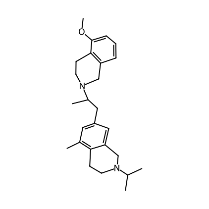 COc1cccc2c1CCN(C(C)Cc1cc(C)c3c(c1)CN(C(C)C)CC3)C2